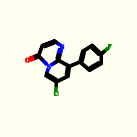 O=c1ccnc2c(-c3ccc(F)cc3)cc(Cl)cn12